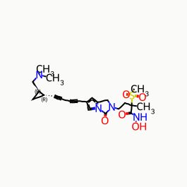 CN(C)C[C@@H]1C[C@H]1C#CC#Cc1cc2n(c1)C(=O)N(CCC(C)(C(=O)NO)S(C)(=O)=O)C2